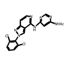 CC(=O)Nc1cc(Nc2nccc3nn(-c4c(Cl)cccc4Cl)cc23)ncn1